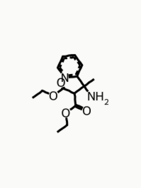 CCOC(=O)C(C(=O)OCC)C(C)(N)c1ccccn1